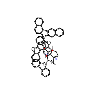 CC1C/C=C(\c2ccc3c(c2)oc2ccccc23)N(C)C(n2c3ccccc3c3ccccc32)/N=C\1c1cc(-n2c3cc4ccccc4cc3c3c4ccccc4ccc32)cc2oc3ccccc3c12